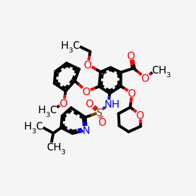 CCOc1cc(C(=O)OC)c(OC2CCCCO2)c(NS(=O)(=O)c2ccc(C(C)C)cn2)c1Oc1ccccc1OC